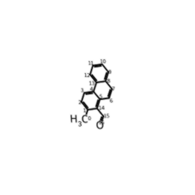 Cc1ccc2c(ccc3ccccc32)c1C=O